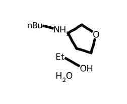 C1CCOC1.CCCCN.CCO.O